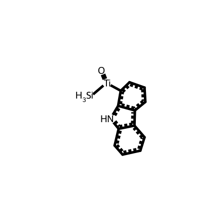 [O]=[Ti]([SiH3])[c]1cccc2c1[nH]c1ccccc12